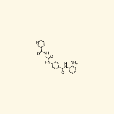 Nc1ccccc1NC(=O)c1ccc(NC(=O)CNC(=O)c2cccnc2)cc1